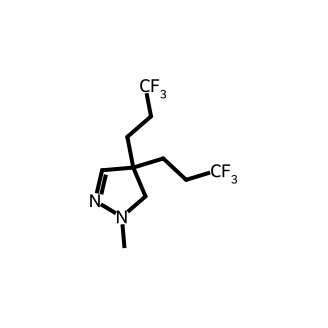 CN1CC(CCC(F)(F)F)(CCC(F)(F)F)C=N1